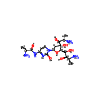 CC(C)[C@H](N)C(=O)Nc1ccn([C@H]2C[C@@](O)(C(=O)[C@@H](N)C(C)C)[C@@H](C(O)C(=O)[C@@H](N)C(C)C)O2)c(=O)n1